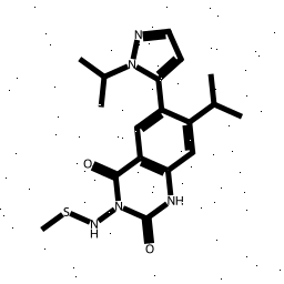 CSNn1c(=O)[nH]c2cc(C(C)C)c(-c3ccnn3C(C)C)cc2c1=O